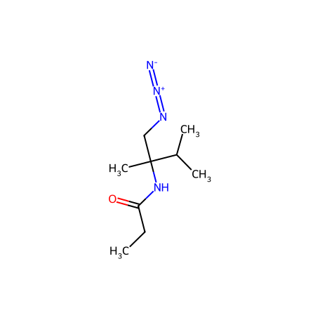 CCC(=O)NC(C)(CN=[N+]=[N-])C(C)C